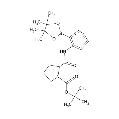 CC(C)(C)OC(=O)N1CCCC1C(=O)Nc1ccccc1B1OC(C)(C)C(C)(C)O1